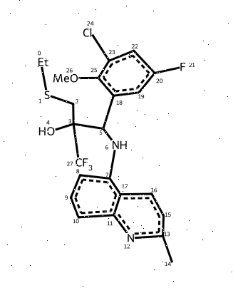 CCSCC(O)(C(Nc1cccc2nc(C)ccc12)c1cc(F)cc(Cl)c1OC)C(F)(F)F